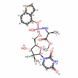 COC(=O)[C@H](C)N[PH](O)(OC[C@H]1O[C@@H](n2ccc(=O)[nH]c2=O)[C@](C)(F)[C@@H]1O)Oc1cccc2sccc12